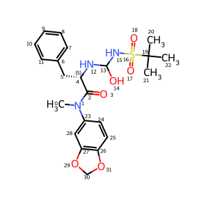 CN(C(=O)[C@H](Cc1ccccc1)NC(O)NS(=O)(=O)C(C)(C)C)c1ccc2c(c1)OCO2